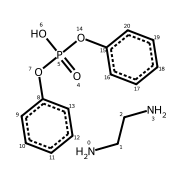 NCCN.O=P(O)(Oc1ccccc1)Oc1ccccc1